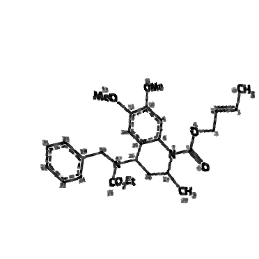 CC=CCOC(=O)N1c2cc(OC)c(OC)cc2C(N(Cc2ccccc2)C(=O)OCC)CC1C